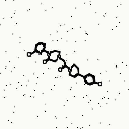 O=C(CN1CCN(c2cccc(Cl)n2)C(=O)C1)N1CC=C(c2ccc(Cl)cc2)CC1